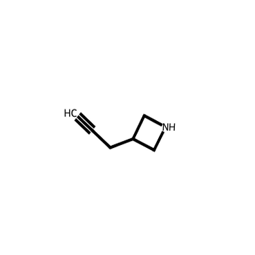 C#CCC1CNC1